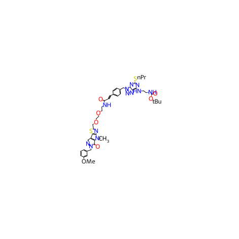 CCCSc1nc(NCCNC(=O)OC(C)(C)C)c2nnn(Cc3ccc(C#CC(=O)NCCOCCOCc4nc5c(s4)c4cnn(Cc6cccc(OC)c6)c(=O)c4n5C)cc3)c2n1